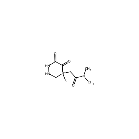 CN(C)C(=O)C[N+]1([S-])CNNC(=O)C1=O